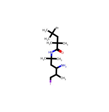 CC(CI)C(N)CC(C)(C)NC(=O)C(C)(C)CC(C)(C)C(C)C